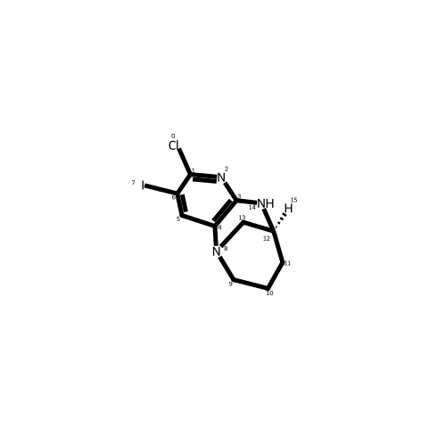 Clc1nc2c(cc1I)N1CCC[C@@H](C1)N2